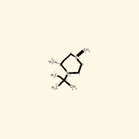 C=S1CCN(C(C)(C)C)[C@H](C)C1